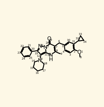 COc1ccc(Cc2c(C)[nH]c3c(N4CCCCC4)c(-c4ccccc4)nn3c2=O)cc1C1CC1